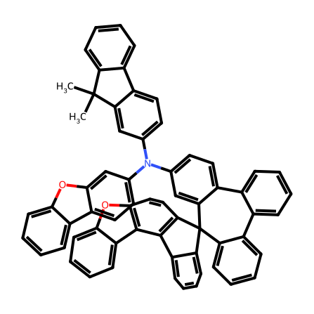 CC1(C)c2ccccc2-c2ccc(N(c3ccc4c(c3)C3(c5ccccc5-c5ccccc5-4)c4ccccc4-c4c3ccc3oc5ccccc5c43)c3ccc4c(c3)oc3ccccc34)cc21